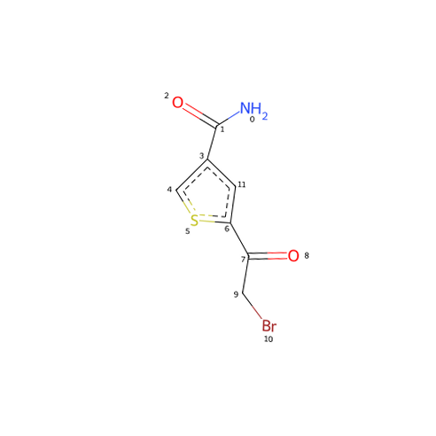 NC(=O)c1csc(C(=O)CBr)c1